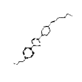 CCCCCCC1CCC(c2ccc(-c3ccc(CCCC)cc3)cn2)CC1